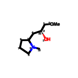 COC[C@H](O)CC1CCCN1C